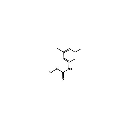 CC1=CC(C)CC(NC(=O)OC(C)(C)C)=C1